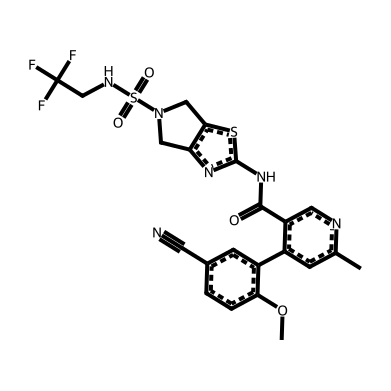 COc1ccc(C#N)cc1-c1cc(C)ncc1C(=O)Nc1nc2c(s1)CN(S(=O)(=O)NCC(F)(F)F)C2